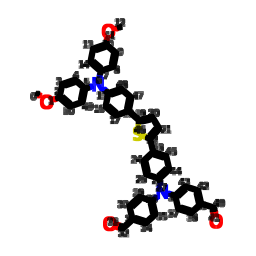 COc1ccc(N(c2ccc(OC)cc2)c2ccc(-c3ccc(-c4ccc(N(c5ccc(C=O)cc5)c5ccc(C=O)cc5)cc4)s3)cc2)cc1